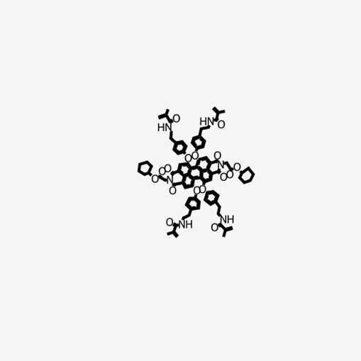 C=C(C)C(=O)NCCc1ccc(Oc2cc3c4c(cc(Oc5ccc(CCNC(=O)C(=C)C)cc5)c5c6c(Oc7ccc(CCNC(=O)C(=C)C)cc7)cc7c8c(cc(Oc9ccc(CCNC(=O)C(=C)C)cc9)c(c2c45)c86)C(=O)N(CC(=O)OC2CCCCC2)C7=O)C(=O)N(CC(=O)OC2CCCCC2)C3=O)cc1